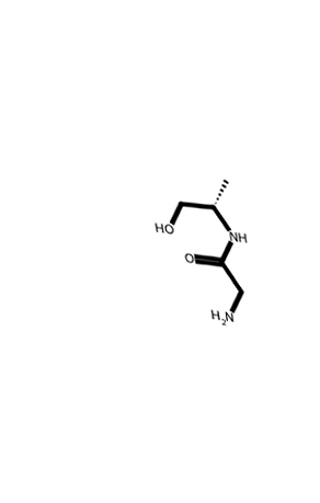 C[C@@H](CO)NC(=O)CN